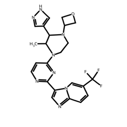 CC1C(c2cn[nH]c2)N(C2COC2)CCN1c1ccnc(-c2cnc3ccc(C(F)(F)F)cn23)n1